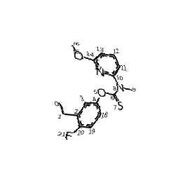 CCc1cc(OC(=S)N(C)c2cccc(OC)n2)ccc1F